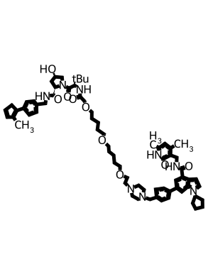 CC1=C(c2ccc(CNC(=O)[C@@H]3C[C@@H](O)CN3C(=O)[C@@H](NC(=O)COCCCCCOCCCCCOCCN3CCN(Cc4ccc(-c5cc(C(=O)NCc6c(C)cc(C)[nH]c6=O)c6ccn(C7CCCC7)c6c5)cc4)CC3)C(C)(C)C)cc2)CC=C1